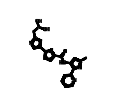 Cn1cc(NC(=O)c2csc(-c3cnn(CP(O)O)c3)n2)c(-c2ccccn2)n1